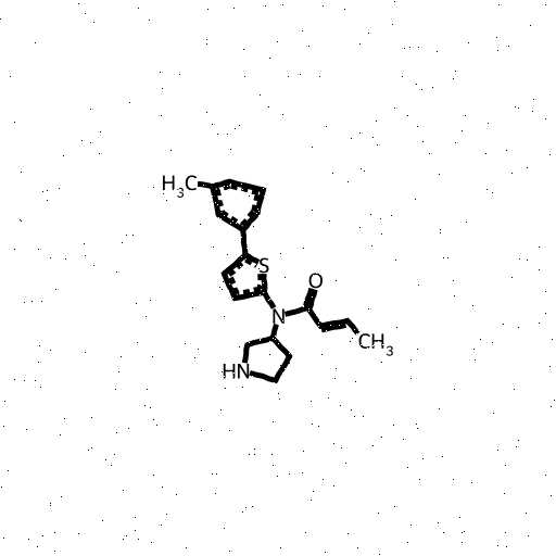 CC=CC(=O)N(c1ccc(-c2cccc(C)c2)s1)C1CCNC1